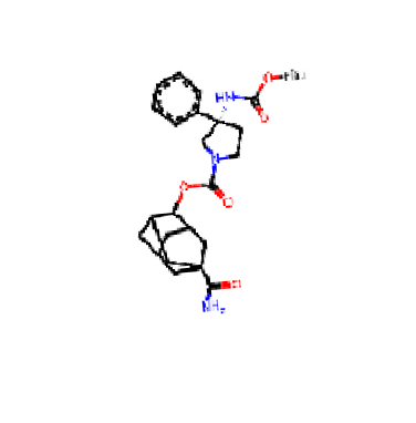 CC(C)(C)OC(=O)N[C@]1(c2ccccc2)CCN(C(=O)OC2C3CC4CC2CC(C(N)=O)(C4)C3)C1